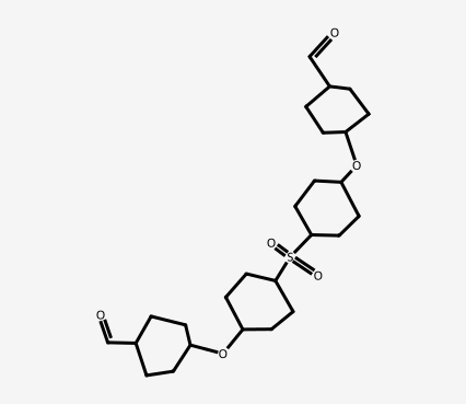 O=CC1CCC(OC2CCC(S(=O)(=O)C3CCC(OC4CCC(C=O)CC4)CC3)CC2)CC1